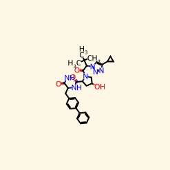 CC(C)(C)C(C(=O)N1CC(O)CC1C(=O)NC(Cc1ccc(-c2ccccc2)cc1)C(N)=O)n1cc(C2CC2)nn1